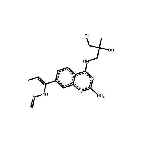 C=NN/C(=C\C)c1ccc2c(NCC(C)(O)CO)nc(N)nc2c1